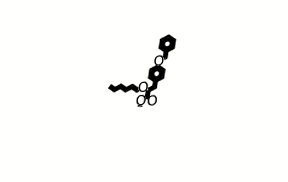 CCCCCCOC(Cc1ccc(OCc2ccccc2)cc1)C(=O)OC